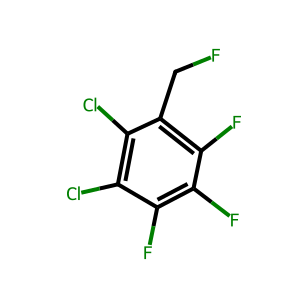 FCc1c(F)c(F)c(F)c(Cl)c1Cl